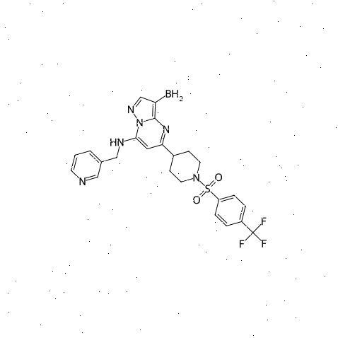 Bc1cnn2c(NCc3cccnc3)cc(C3CCN(S(=O)(=O)c4ccc(C(F)(F)F)cc4)CC3)nc12